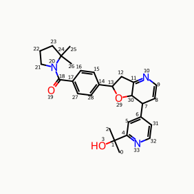 CC(C)(O)c1cc(C2C=CN=C3CC(c4ccc(C(=O)N5CCCC5(C)C)cc4)OC32)ccn1